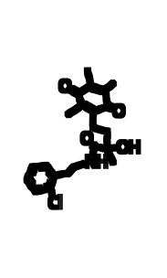 CC1=C(C)C(=O)C(CCC(C)(O)C(=O)NCCc2ccccc2Cl)=C(C)C1=O